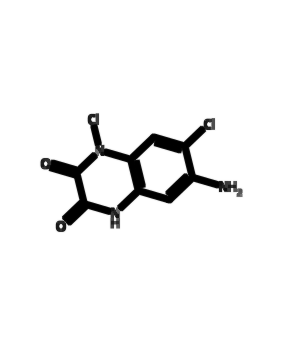 Nc1cc2[nH]c(=O)c(=O)n(Cl)c2cc1Cl